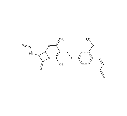 C=C1SC2C(NC=O)C(=O)N2C(C)=C1COc1ccc(/C=C\C=O)c(OC)c1